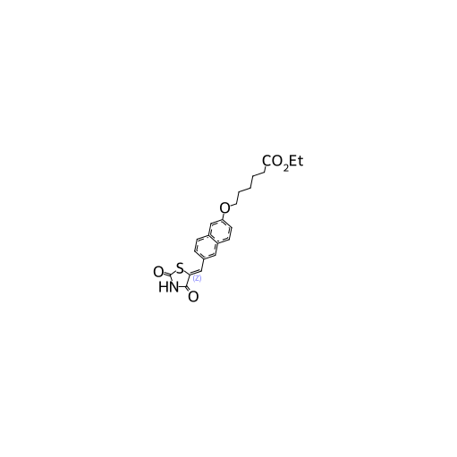 CCOC(=O)CCCCCOc1ccc2cc(/C=C3\SC(=O)NC3=O)ccc2c1